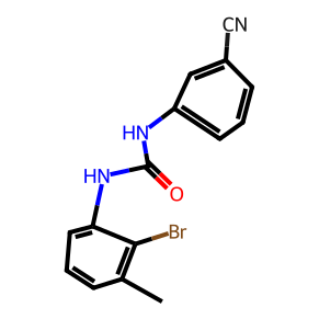 Cc1cccc(NC(=O)Nc2cccc(C#N)c2)c1Br